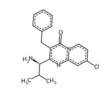 CC(C)[C@@H](N)c1nc2cc(Cl)ccn2c(=O)c1Cc1ccccc1